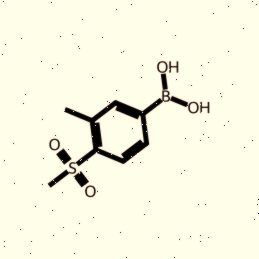 Cc1cc(B(O)O)ccc1S(C)(=O)=O